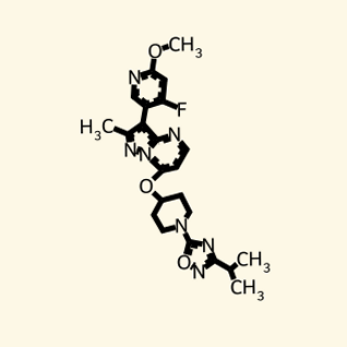 COc1cc(F)c(-c2c(C)nn3c(OC4CCN(c5nc(C(C)C)no5)CC4)ccnc23)cn1